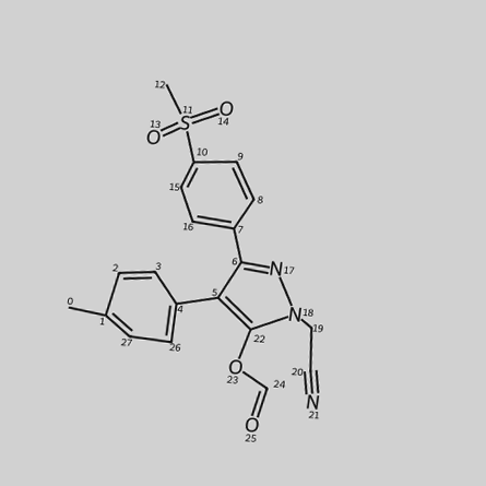 Cc1ccc(-c2c(-c3ccc(S(C)(=O)=O)cc3)nn(CC#N)c2OC=O)cc1